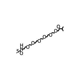 CSC(=O)NCCOCCOCCOCCOCCOCCOCC(=O)C(C)C